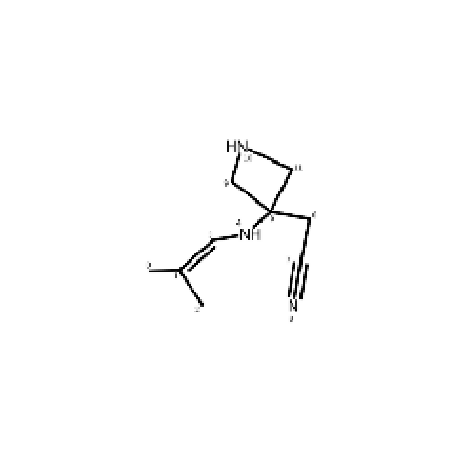 CC(C)=CNC1(CC#N)CNC1